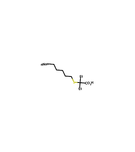 CCCCCCCCCCCCCCSC(CC)(CC)C(=O)O